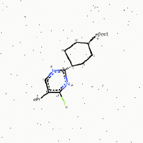 CCCCC[C@H]1CC[C@H](c2ncc(CCC)c(F)n2)CC1